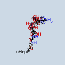 CCCCCCCC=CC(=O)SCCNC(=O)CCNC(=O)[C@H](O)C(C)(C)COP(=O)(O)OP(=O)(O)OC[C@H]1O[C@@H](n2cnc3c(N)ncnc32)[C@H](O)[C@@H]1OP(=O)(O)O